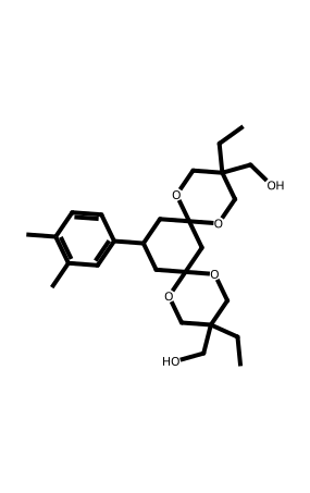 CCC1(CO)COC2(CC(c3ccc(C)c(C)c3)CC3(C2)OCC(CC)(CO)CO3)OC1